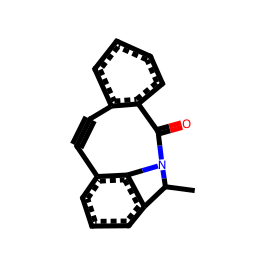 CC1c2cccc3c2N1C(=O)c1ccccc1C#C3